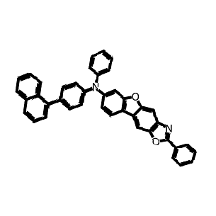 c1ccc(-c2nc3cc4oc5cc(N(c6ccccc6)c6ccc(-c7cccc8ccccc78)cc6)ccc5c4cc3o2)cc1